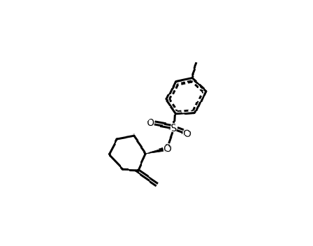 C=C1CCCC[C@H]1OS(=O)(=O)c1ccc(C)cc1